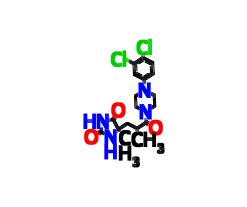 CC(CC1(C)NC(=O)NC1=O)C(=O)N1CCN(c2ccc(Cl)c(Cl)c2)CC1